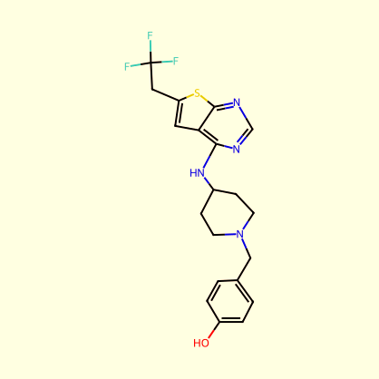 Oc1ccc(CN2CCC(Nc3ncnc4sc(CC(F)(F)F)cc34)CC2)cc1